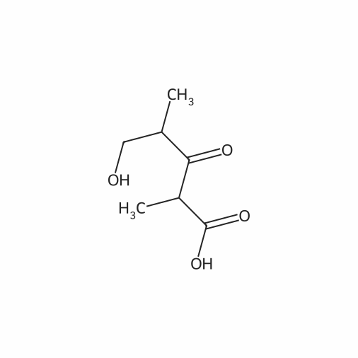 CC(CO)C(=O)C(C)C(=O)O